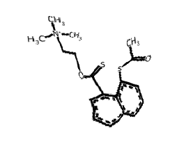 CC(=O)Sc1cccc2cccc(C(=S)OCC[N+](C)(C)C)c12